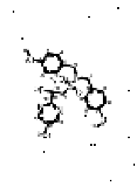 COc1ccc(CN(Cc2ccc(OC)cc2)S(=O)(=O)C[C@](C)(F)c2ncc(Br)cn2)cc1